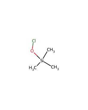 C[Si](C)(C)OCl